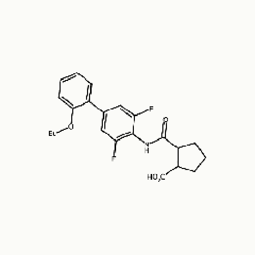 CCOc1ccccc1-c1cc(F)c(NC(=O)C2CCCC2C(=O)O)c(F)c1